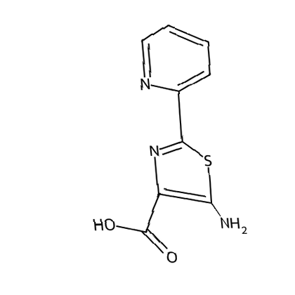 Nc1sc(-c2ccccn2)nc1C(=O)O